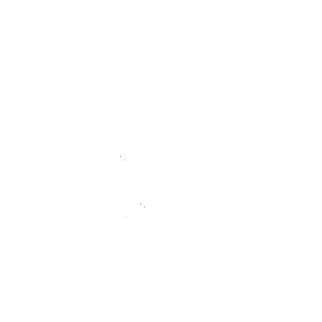 Cc1ccc(OCCCCC2OCCO2)cc1C(=O)N(C=O)C1CCC(=O)NC1=O